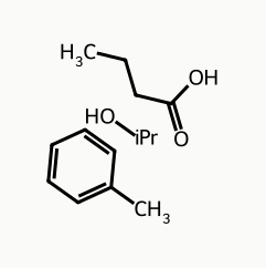 CC(C)O.CCCC(=O)O.Cc1ccccc1